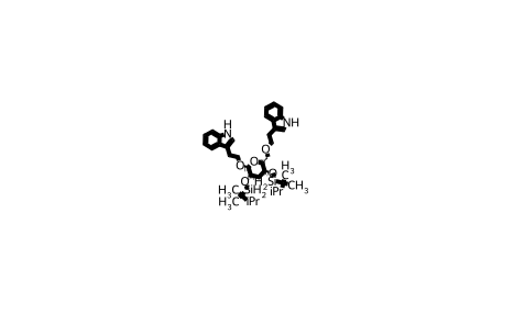 CC(C)C(C)(C)[SiH2]O[C@H]1C[C@@H](O[SiH2]C(C)(C)C(C)C)[C@@H](OCCc2c[nH]c3ccccc23)O[C@@H]1COCCc1c[nH]c2ccccc12